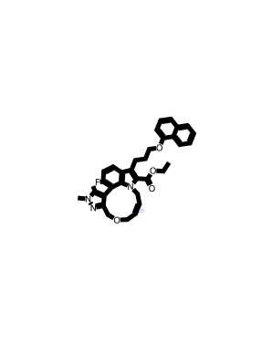 CCOC(=O)c1c(CCCOc2cccc3ccccc23)c2ccc(F)c3c2n1C/C=C\COCc1nn(C)c(C)c1-3